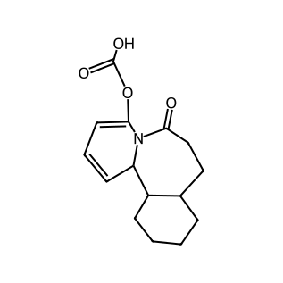 O=C(O)OC1=CC=CC2C3CCCCC3CCC(=O)N12